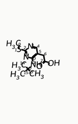 CSc1ncc(CC(=O)O)c(NC(C)(C)C)n1